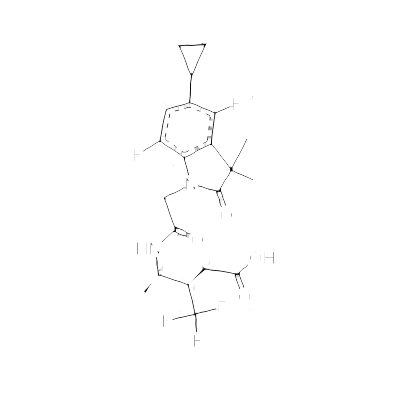 C[C@@H](NC(=O)CN1C(=O)C(C)(C)c2c(F)c(C3CC3)cc(F)c21)[C@@H](CC(=O)O)C(F)(F)F